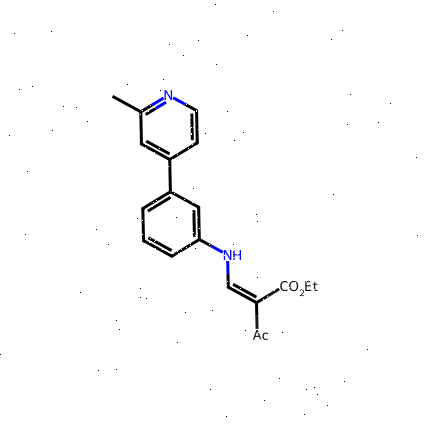 CCOC(=O)/C(=C\Nc1cccc(-c2ccnc(C)c2)c1)C(C)=O